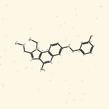 CCOCc1nc2c(N)nc3cc(OCc4cccc(C)c4)ccc3c2n1CC(C)C